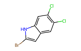 Clc1cc2cc(Br)[nH]c2cc1Cl